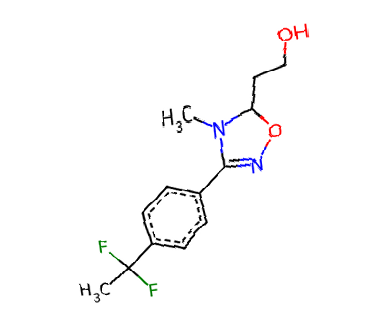 CN1C(c2ccc(C(C)(F)F)cc2)=NOC1CCO